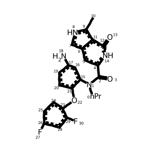 CCCN(C(=O)c1cc2c[nH]c(C)c2c(=O)[nH]1)c1cc(N)ccc1Oc1ccc(F)cc1F